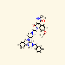 CNC(=O)c1cc(=O)n(CCN2CCC(NCc3ccccc3N3CCN(Cc4ccccc4)CC3)CC2)c2cc(OC)ccc12